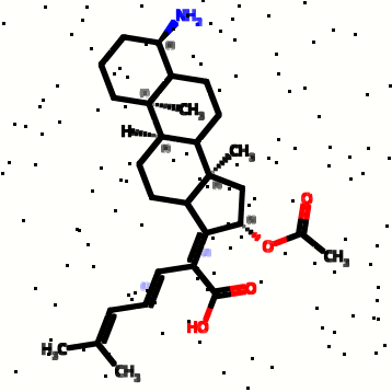 CC(=O)O[C@H]1C[C@@]2(C)C(CC[C@@H]3C2CCC2[C@H](N)CCC[C@@]23C)/C1=C(\C=C\C=C(C)C)C(=O)O